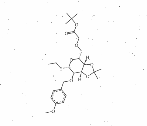 CCS[C@@H]1O[C@H](COCC(=O)OC(C)(C)C)[C@@H]2OC(C)(C)O[C@@H]2[C@H]1OCc1ccc(OC)cc1